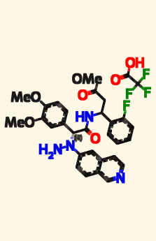 COC(=O)CC(NC(=O)[C@@H](c1ccc(OC)c(OC)c1)N(N)c1ccc2cnccc2c1)c1ccccc1F.O=C(O)C(F)(F)F